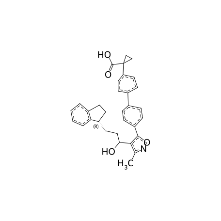 Cc1noc(-c2ccc(-c3ccc(C4(C(=O)O)CC4)cc3)cc2)c1C(O)CC[C@H]1CCc2ccccc21